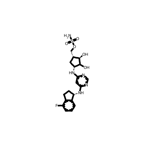 NS(=O)(=O)OC[C@H]1C[C@@H](Nc2cc(N[C@H]3CCc4c(F)cccc43)ncn2)C(O)[C@@H]1O